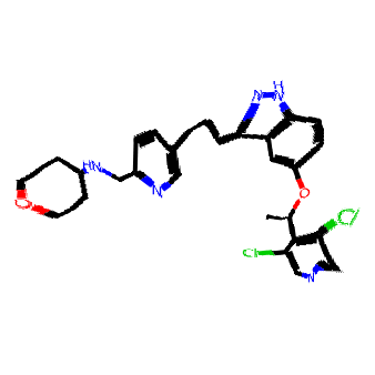 C[C@@H](Oc1ccc2[nH]nc(/C=C/c3ccc(CNC4CCOCC4)nc3)c2c1)c1c(Cl)cncc1Cl